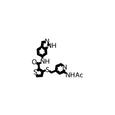 CC(=O)Nc1cc(CSc2ccsc2C(=O)Nc2ccc3cn[nH]c3c2)ccn1